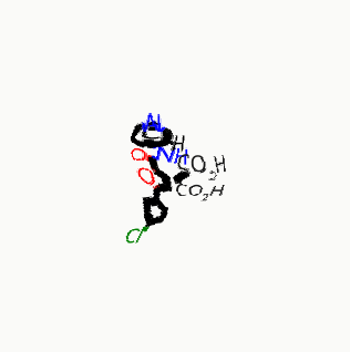 O=C(N[C@H]1CN2CCC1CC2)c1ccc(-c2ccc(Cl)cc2)o1.O=C(O)/C=C/C(=O)O